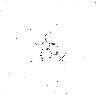 CCN1C(=O)c2cccc3c(S(=O)(=O)O)ccc1c23